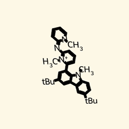 Cn1cccc/c1=N/c1cccc(-c2cc(C(C)(C)C)cc3c4cc(C(C)(C)C)ccc4n(C)c23)[n+]1C